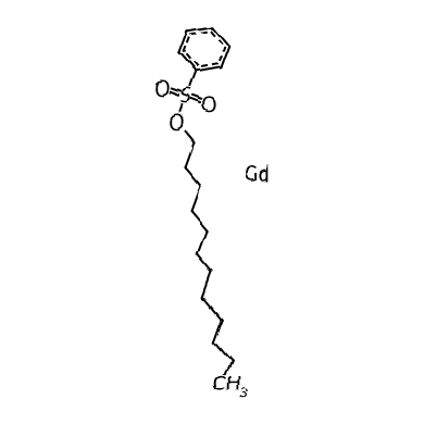 CCCCCCCCCCCCOS(=O)(=O)c1ccccc1.[Gd]